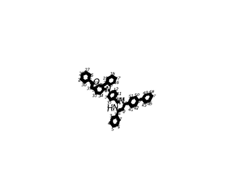 C1=C(c2ccccc2)NC(c2ccc(-n3c4ccccc4c4c5oc(-c6ccccc6)cc5ccc43)cc2)N=C1c1ccc(-c2ccccc2)cc1